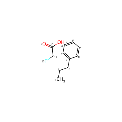 CCCc1ccccc1.O=C(O)CF